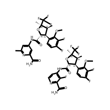 COc1c([C@H]2[C@H](C(=O)Nc3cc(C)nc(C(N)=O)c3)O[C@@](C)(C(F)(F)F)[C@H]2C)ccc(F)c1F.COc1c([C@H]2[C@H](C(=O)Nc3ccnc(C(N)=O)c3F)O[C@@](C)(C(F)(F)F)[C@H]2C)ccc(F)c1F